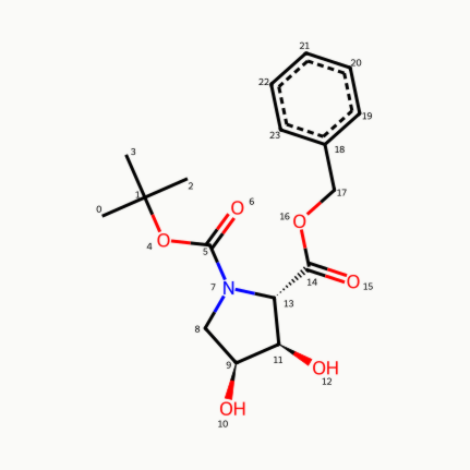 CC(C)(C)OC(=O)N1C[C@H](O)[C@H](O)[C@H]1C(=O)OCc1ccccc1